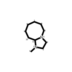 CN1CCN2CCCCCCC12